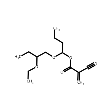 C=C(C#N)C(=O)OC(CCC)OCC(CC)OCC